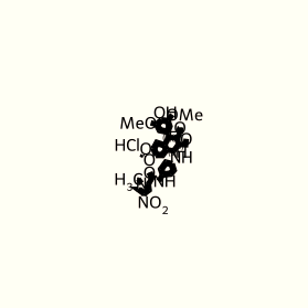 COc1cc([C@@H]2c3cc4c(cc3[C@@H](Nc3ccc(NC(=O)c5cc([N+](=O)[O-])cn5C)cc3)[C@H]3COC(=O)[C@H]23)OCO4)cc(OC)c1O.Cl